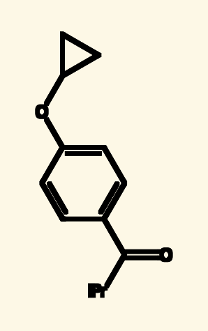 CC(C)C(=O)c1ccc(OC2CC2)cc1